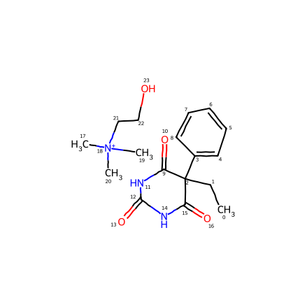 CCC1(c2ccccc2)C(=O)NC(=O)NC1=O.C[N+](C)(C)CCO